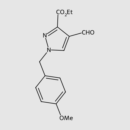 CCOC(=O)c1nn(Cc2ccc(OC)cc2)cc1C=O